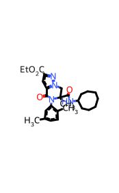 CCOC(=O)c1cc2n(n1)CC(C)(C(=O)NC1CCCCCCC1)N(c1cc(C)ccc1C)C2=O